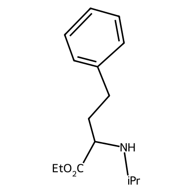 CCOC(=O)C(CCc1ccccc1)NC(C)C